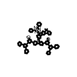 COc1cc(-c2cc(-c3ccccc3)cc(-c3ccccc3)c2)cc(-c2ccc3c4ccc(-c5cc(OC)cc(-c6cc(-c7ccccc7)cc(-c7ccccc7)c6)c5)cc4n(-c4ccc5c(c4)c4cc6c(cc4n5-c4nc(-c5ccccc5)nc(-c5ccccc5)n4)C(C)(C)c4ccccc4-6)c3c2)c1